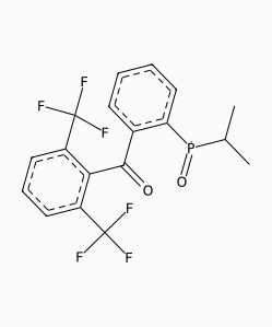 CC(C)[P](=O)c1ccccc1C(=O)c1c(C(F)(F)F)cccc1C(F)(F)F